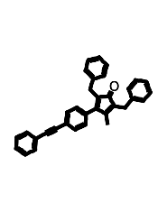 CC1=C(Cc2ccccc2)C(=O)C(Cc2ccccc2)=C1c1ccc(C#Cc2ccccc2)cc1